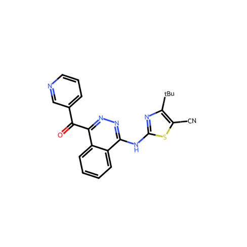 CC(C)(C)c1nc(Nc2nnc(C(=O)c3cccnc3)c3ccccc23)sc1C#N